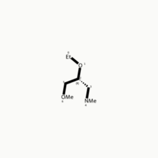 CCO[C@H](CNC)COC